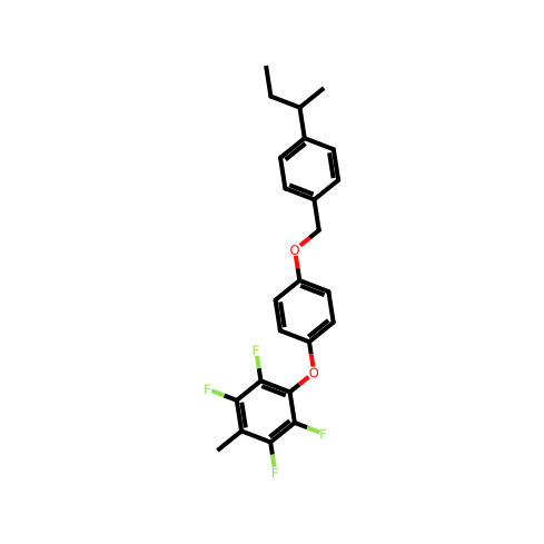 CCC(C)c1ccc(COc2ccc(Oc3c(F)c(F)c(C)c(F)c3F)cc2)cc1